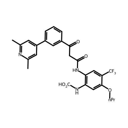 CCCOc1cc(NC(=O)O)c(NC(=O)CC(=O)c2cccc(-c3cc(C)nc(C)c3)c2)cc1C(F)(F)F